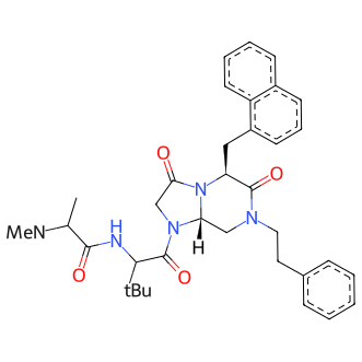 CNC(C)C(=O)NC(C(=O)N1CC(=O)N2[C@@H]1CN(CCc1ccccc1)C(=O)[C@@H]2Cc1cccc2ccccc12)C(C)(C)C